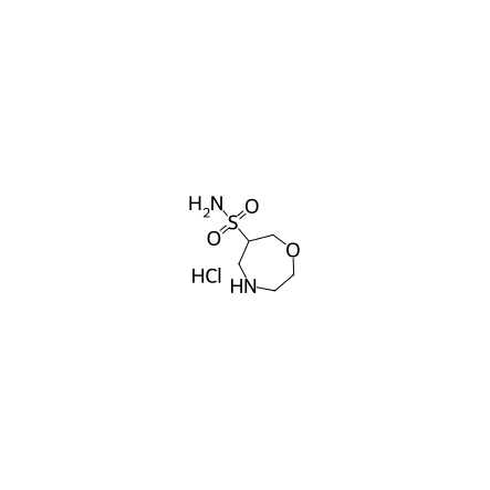 Cl.NS(=O)(=O)C1CNCCOC1